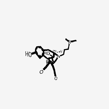 CN(C)CCCN1CC[C@]23CC(=O)NC(=O)NCC[C@@]2(O)[C@H]1Cc1ccc(O)cc13